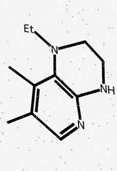 CCN1CCNc2ncc(C)c(C)c21